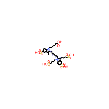 C=c1\c(=C/C=C/C=C/C2=[N+](CCCCS(=O)(=O)O)c3ccc(S(=O)(=O)O)cc3/C2=C\CCCS(=O)(=O)O)n(CCCCCC(=O)O)c2ccc(S(=O)(=O)O)cc12